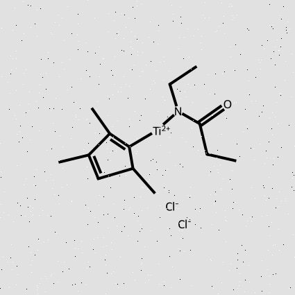 CCC(=O)[N](CC)[Ti+2][C]1=C(C)C(C)=CC1C.[Cl-].[Cl-]